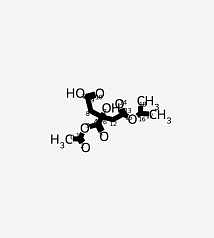 CC(=O)OC(=O)C(O)(CC(=O)O)CC(=O)OC(C)C